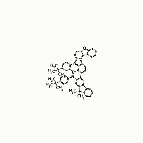 CC(C)(C)c1ccc(N2B3c4cc(C(C)(C)C)ccc4-n4c5ccc6oc7ccccc7c6c5c5ccc(c3c54)-c3cc4c(cc32)C(C)(C)c2ccccc2-4)cc1